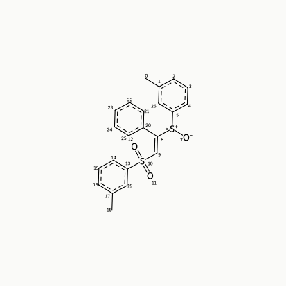 Cc1cccc([S+]([O-])/C(=C/S(=O)(=O)c2cccc(C)c2)c2ccccc2)c1